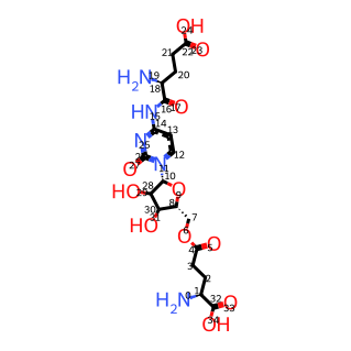 N[C@@H](CCC(=O)OC[C@H]1O[C@@H](n2ccc(NC(=O)[C@@H](N)CCC(=O)O)nc2=O)C(O)C1O)C(=O)O